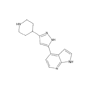 c1cc(-c2cc(C3CCNCC3)n[nH]2)c2cc[nH]c2n1